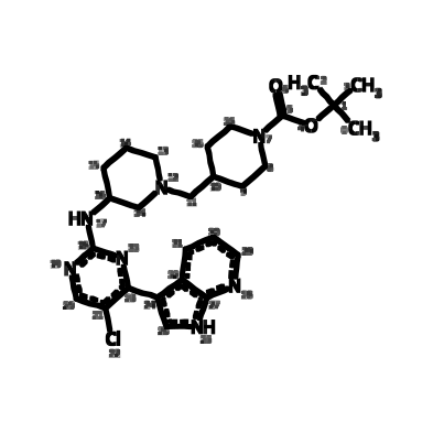 CC(C)(C)OC(=O)N1CCC(CN2CCCC(Nc3ncc(Cl)c(-c4c[nH]c5ncccc45)n3)C2)CC1